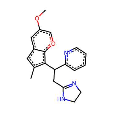 COc1coc2c(C(CC3=NCCN3)c3ccccn3)c(C)cc-2c1